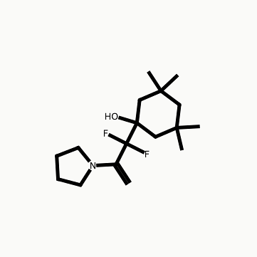 C=C(N1CCCC1)C(F)(F)C1(O)CC(C)(C)CC(C)(C)C1